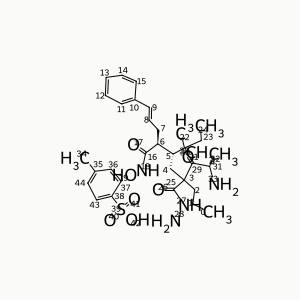 CCCC(C[C@H]([C@H](C/C=C/c1ccccc1)C(=O)NO)C(C)(C)CC)(C(=O)NN)C(=O)[C@@H](C)N.Cc1ccc(S(=O)(=O)O)cc1